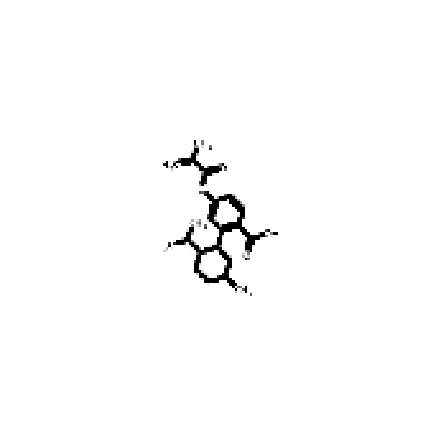 C=C(C)C(=O)Oc1ccc(C(=O)O)c(C2CC(C)CCC2C(C)C)c1